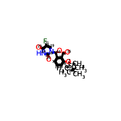 CC(C)(C)[Si](C)(C)Oc1cccc2c1C(=O)OC2n1cc(F)c(=O)[nH]c1=O